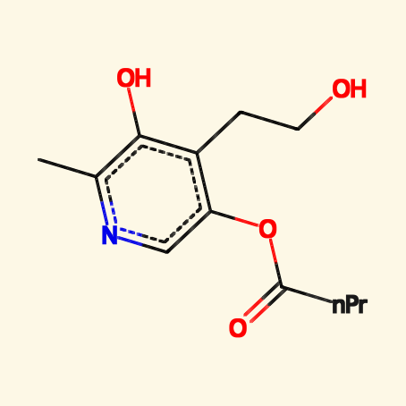 CCCC(=O)Oc1cnc(C)c(O)c1CCO